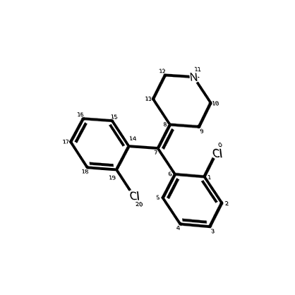 Clc1ccccc1C(=C1CC[N]CC1)c1ccccc1Cl